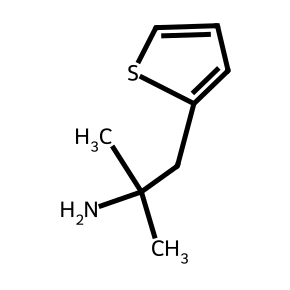 CC(C)(N)Cc1cccs1